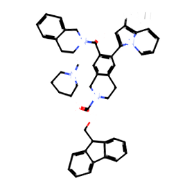 O=C(O)c1cc(-c2cc3c(cc2C(=O)N2Cc4ccccc4C[C@H]2CN2CCCCC2)CN(C(=O)OCC2c4ccccc4-c4ccccc42)CC3)n2ccccc12